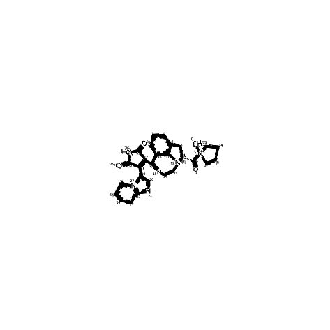 C[N+]1(C(=O)[C@H]2Cc3cccc4c3N2C=CN=C4C2=C(c3cnc4ccccn34)C(=O)NC2=O)CCCC1